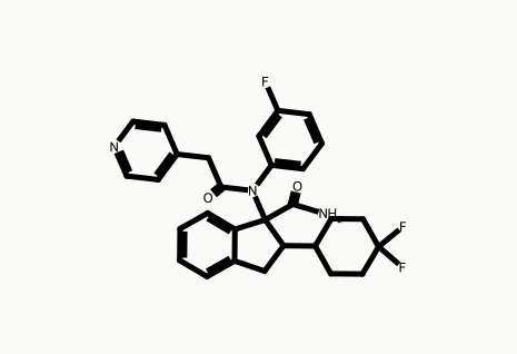 NC(=O)C1(N(C(=O)Cc2ccncc2)c2cccc(F)c2)c2ccccc2CC1C1CCC(F)(F)CC1